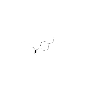 N=C(N)N1CCC([C@H](N)C(=O)O)CC1